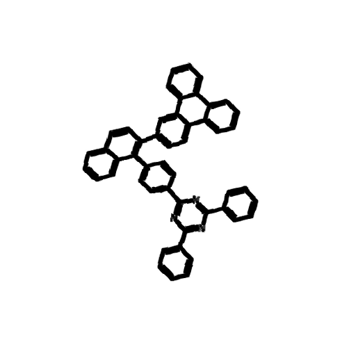 c1ccc(-c2nc(-c3ccccc3)nc(-c3ccc(-c4c(-c5ccc6c7ccccc7c7ccccc7c6c5)ccc5ccccc45)cc3)n2)cc1